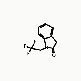 O=C1Cc2ccccc2N1CC(F)(F)F